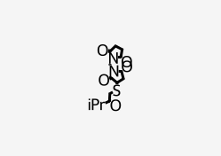 CC(C)C(=O)CSC1CC(=O)N(CN2C(=O)CCC2=O)C1=O